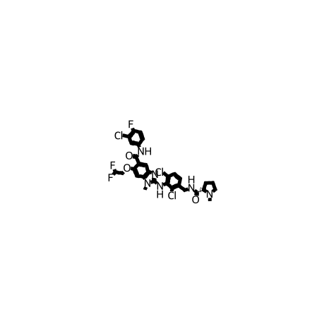 CN1CCC[C@H]1C(=O)NCc1ccc(Cl)c(Nc2nc3cc(C(=O)Nc4ccc(F)c(Cl)c4)c(OCC(F)F)cc3n2C)c1Cl